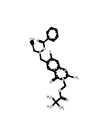 C#CCN(Cc1cc2c(=O)n(COC(=O)C(C)(C)C)c(C)nc2cc1F)OC(=O)c1ccccc1